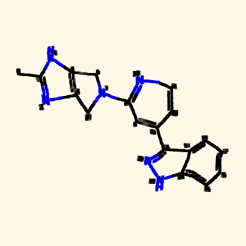 Cc1nc2c([nH]1)CN(c1cc(-c3n[nH]c4ccccc34)ccn1)C2